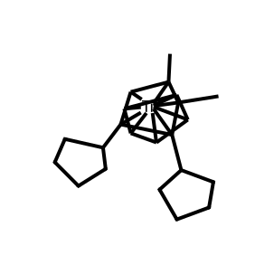 C[C]12[CH]3[C]4(C5CCCC5)[C]5(C6CCCC6)[C]1(C)[Ti]32451678[CH]2[CH]1[CH]6[CH]7[CH]28